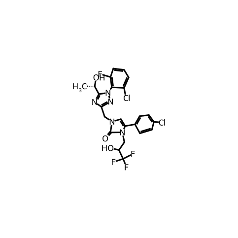 C[C@H](O)c1nc(Cn2cc(-c3ccc(Cl)cc3)n(CC(O)C(F)(F)F)c2=O)nn1-c1c(F)cccc1Cl